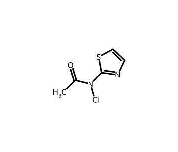 CC(=O)N(Cl)c1nccs1